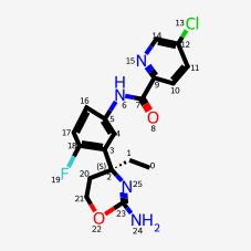 CC[C@@]1(c2cc(NC(=O)c3ccc(Cl)cn3)ccc2F)CCOC(N)=N1